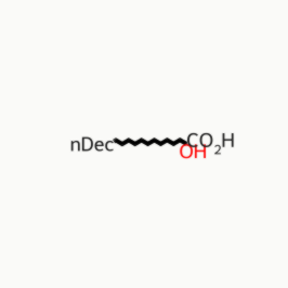 CCCCCCCCCCCCCCCCCCCCCC(O)C(=O)O